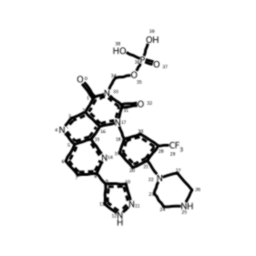 O=c1c2cnc3ccc(-c4cn[nH]c4)nc3c2n(-c2ccc(N3CCNCC3)c(C(F)(F)F)c2)c(=O)n1COP(=O)(O)O